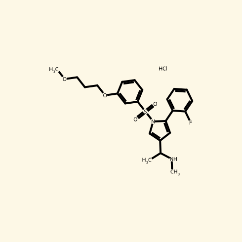 CNC(C)c1cc(-c2ccccc2F)n(S(=O)(=O)c2cccc(OCCCOC)c2)c1.Cl